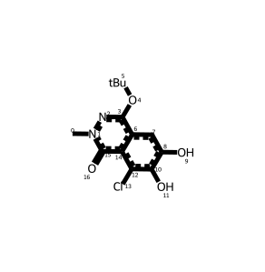 Cn1nc(OC(C)(C)C)c2cc(O)c(O)c(Cl)c2c1=O